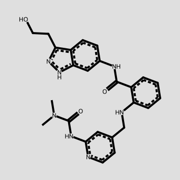 CN(C)C(=O)Nc1cc(CNc2ccccc2C(=O)Nc2ccc3c(CCO)n[nH]c3c2)ccn1